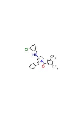 O=C(c1cc(C(F)(F)F)cc(C(F)(F)F)c1)N1CC[C@H](NCc2cccc(Cl)c2)C[C@H]1Cc1ccccc1